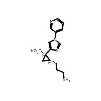 NCCC[C@@H]1C[C@@]1(C(=O)O)c1cn(-c2cccnc2)cn1